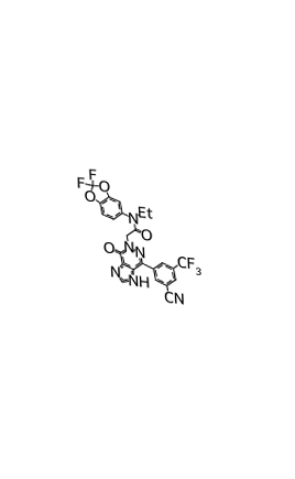 CCN(C(=O)Cn1nc(-c2cc(C#N)cc(C(F)(F)F)c2)c2[nH]cnc2c1=O)c1ccc2c(c1)OC(F)(F)O2